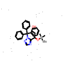 CC(C)(C)[Si](C)(C)OC(CCO)c1ncnn1C(c1ccccc1)(c1ccccc1)c1ccccc1